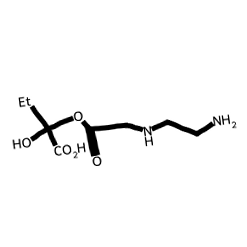 CCC(O)(OC(=O)CNCCN)C(=O)O